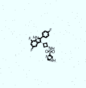 O=S(=O)(N[C@H]1C[C@@H](c2c(-c3ccc(F)cc3)[nH]c3c(F)cc(F)cc32)C1)c1c[nH]cn1